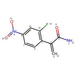 C=C(C(N)=O)c1ccc([N+](=O)[O-])cc1F